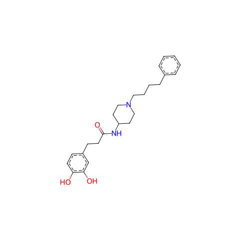 O=C(CCc1ccc(O)c(O)c1)NC1CCN(CCCCc2ccccc2)CC1